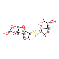 O[C@@H]1COC2C(SS[C@H]3COC4C3OC[C@H]4ON(O)O)COC21